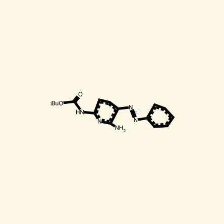 CC(C)COC(=O)Nc1ccc(/N=N/c2ccccc2)c(N)n1